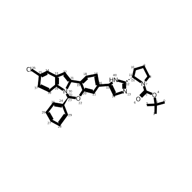 CC(C)(C)OC(=O)N1CCC[C@H]1c1ncc(-c2ccc3c(c2)O[C@@H](c2ccccc2)n2c-3cc3cc(Cl)ccc32)[nH]1